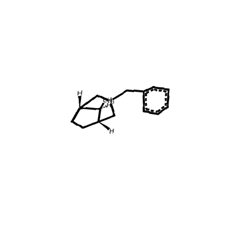 C[C@@H]1[C@@H]2CC[C@H]1CN(Cc1ccccc1)C2